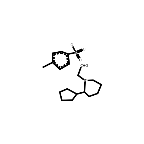 Cc1ccc(S(=O)(=O)[O-])cc1.O=CC[S+]1CCCCC1C1CCCC1